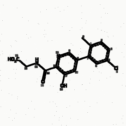 Cc1ccc(Cl)cc1-c1cnc(C(=O)NCC(=O)O)c(O)c1